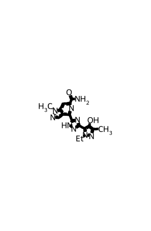 CCn1nc(C)c(O)c1-c1n[nH]c(-c2nc(C(N)=O)cc3c2cnn3C)n1